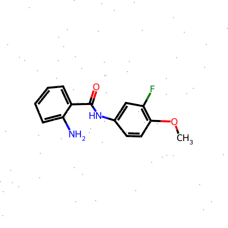 COc1ccc(NC(=O)c2ccccc2N)cc1F